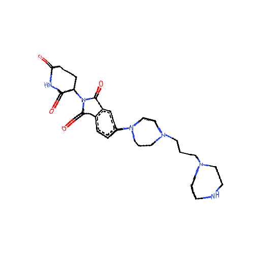 O=C1CCC(N2C(=O)c3ccc(N4CCN(CCCN5CCNCC5)CC4)cc3C2=O)C(=O)N1